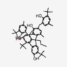 CCCC(c1cc(C(C)(C)C)c(O)cc1C)(c1cc(C(C)(C)C)c(O)cc1C)c1c(C)cc(Cc2cc(C)cc(C(C)(C)C)c2O)c(O)c1Cc1cc(C)cc(C(C)(C)C)c1O